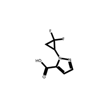 O=C(O)c1ccnn1C1CC1(F)F